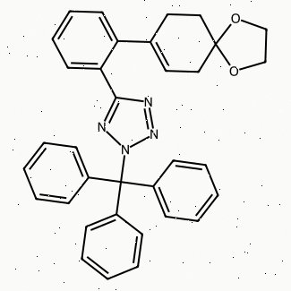 C1=C(c2ccccc2-c2nnn(C(c3ccccc3)(c3ccccc3)c3ccccc3)n2)CCC2(C1)OCCO2